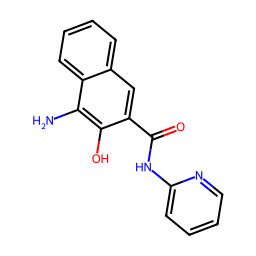 Nc1c(O)c(C(=O)Nc2ccccn2)cc2ccccc12